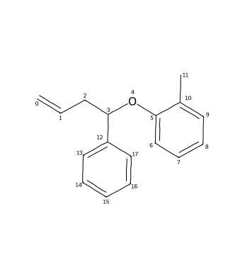 C=CCC(Oc1ccccc1C)c1ccccc1